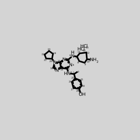 CC(Nc1nc(NC2CCC(N)CC2)nc2c1ncn2C1CCCC1)c1ccc(O)cc1.Cl.Cl